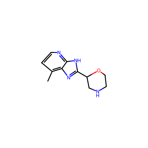 Cc1ccnc2[nH]c(C3CNCCO3)nc12